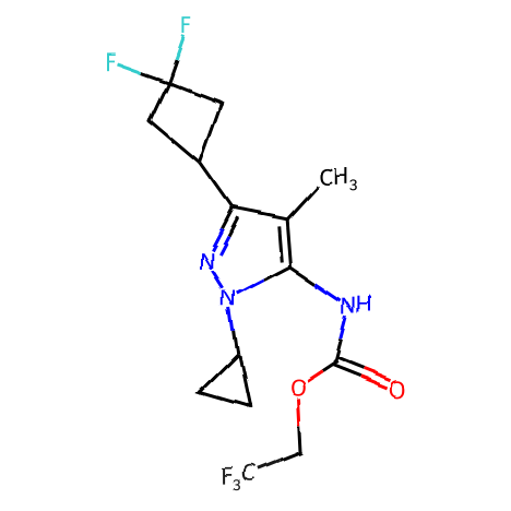 Cc1c(C2CC(F)(F)C2)nn(C2CC2)c1NC(=O)OCC(F)(F)F